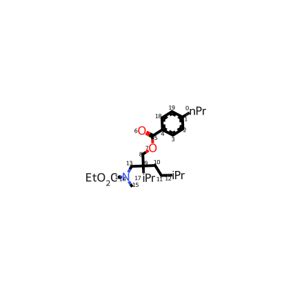 CCCc1ccc(C(=O)OCC(CCC(C)C)(CN(C)C(=O)OCC)C(C)C)cc1